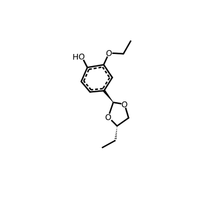 CCOc1cc([C@H]2OC[C@H](CC)O2)ccc1O